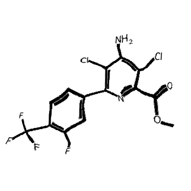 COC(=O)c1nc(-c2ccc(C(F)(F)F)c(F)c2)c(Cl)c(N)c1Cl